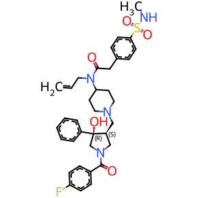 C=CCN(C(=O)Cc1ccc(S(=O)(=O)NC)cc1)C1CCN(C[C@H]2CN(C(=O)c3ccc(F)cc3)C[C@]2(O)c2ccccc2)CC1